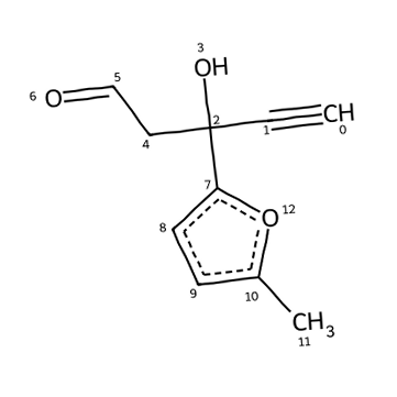 C#CC(O)(CC=O)c1ccc(C)o1